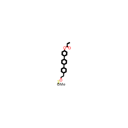 C=CC(=O)Oc1ccc(-c2ccc(-c3ccc(CCOSOC)cc3)cc2)cc1